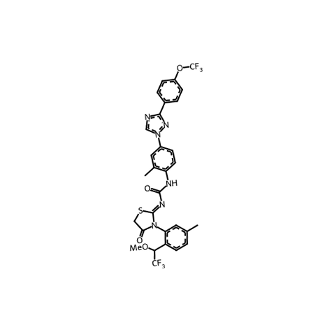 COC(c1ccc(C)cc1N1C(=O)CS/C1=N\C(=O)Nc1ccc(-n2cnc(-c3ccc(OC(F)(F)F)cc3)n2)cc1C)C(F)(F)F